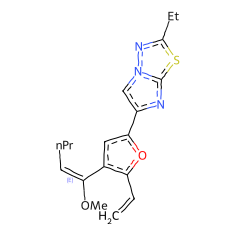 C=Cc1oc(-c2cn3nc(CC)sc3n2)cc1/C(=C\CCC)OC